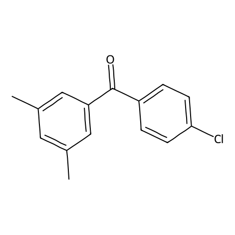 Cc1cc(C)cc(C(=O)c2ccc(Cl)cc2)c1